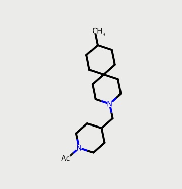 CC(=O)N1CCC(CN2CCC3(CCC(C)CC3)CC2)CC1